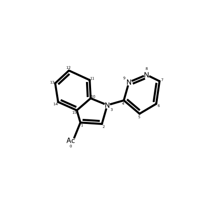 CC(=O)c1cn(-c2cccnn2)c2ccccc12